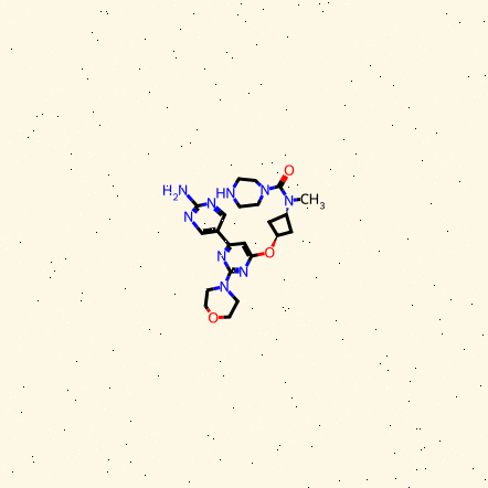 CN(C(=O)N1CCNCC1)[C@H]1C[C@H](Oc2cc(-c3cnc(N)nc3)nc(N3CCOCC3)n2)C1